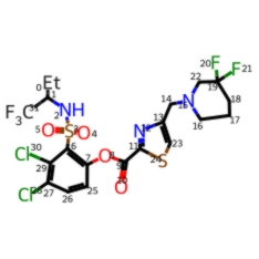 CCC(NS(=O)(=O)c1c(OC(=O)c2nc(CN3CCCC(F)(F)C3)cs2)ccc(Cl)c1Cl)C(F)(F)F